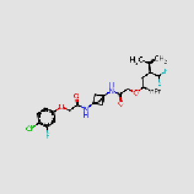 C=C(C)C(CC(CCC)OCC(=O)NC12CC(NC(=O)COc3ccc(Cl)c(F)c3)(C1)C2)C(F)F